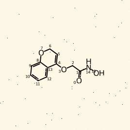 O=C(COC1=CCOc2ccccc21)NO